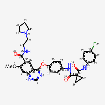 COc1cc2ncnc(Oc3ccc(NC(=O)C4(C(=O)Nc5ccc(F)cc5)CC4)cc3)c2cc1C(=O)NCCN1CCCC1